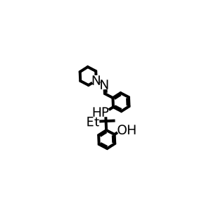 CCC(C)(Pc1ccccc1/C=N/N1CCCCC1)c1ccccc1O